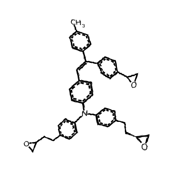 Cc1ccc(C(=Cc2ccc(N(c3ccc(CCC4CO4)cc3)c3ccc(CC[C@H]4CO4)cc3)cc2)c2ccc(C3CO3)cc2)cc1